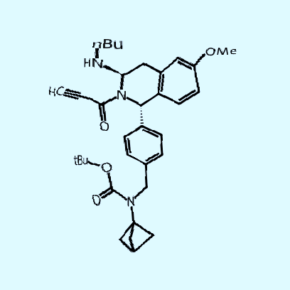 C#CC(=O)N1[C@@H](c2ccc(CN(C(=O)OC(C)(C)C)C34CC(C3)C4)cc2)c2ccc(OC)cc2C[C@@H]1NCCCC